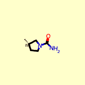 C[C@H]1CCN(C(N)=O)C1